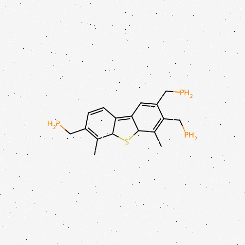 CC1=C(CP)C=CC2=C3C=C(CP)C(CP)=C(C)C3SC12